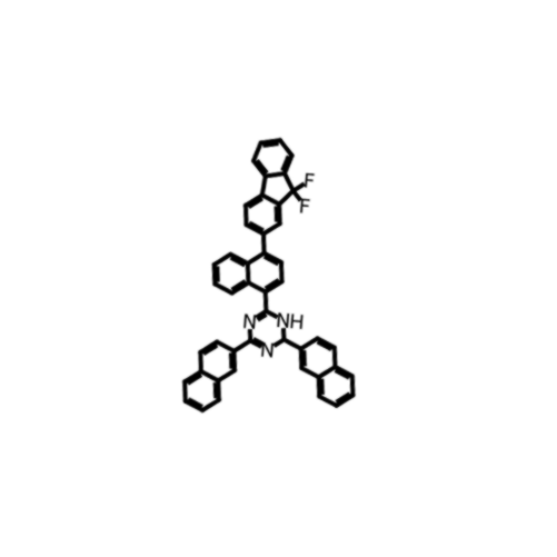 FC1(F)c2ccccc2-c2ccc(-c3ccc(C4=NC(c5ccc6ccccc6c5)=NC(c5ccc6ccccc6c5)N4)c4ccccc34)cc21